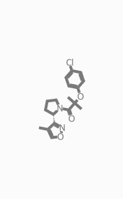 Cc1conc1[C@@H]1CCCN1C(=O)C(C)(C)Oc1ccc(Cl)cc1